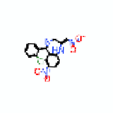 O=[N+]([O-])C=C1CN=C(c2ccccc2Cl)c2cc([N+](=O)[O-])ccc2N1